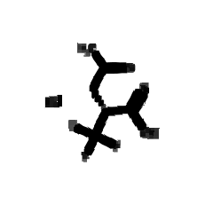 CC(=O)C[C@H](C(O)=S)C(F)(F)F.Cl